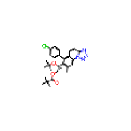 Cc1cc2c(ccc3nnnn32)c(-c2ccc(Cl)cc2)c1[C@@H](COC(=O)C(C)(C)C)OC(C)(C)C